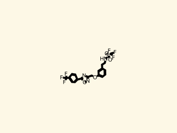 O=S(=O)(NCCc1cccc(OCc2noc(-c3ccc(C(F)(F)F)cc3)n2)c1)C(F)(F)F